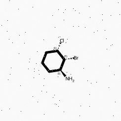 N[C@H]1CC[CH][C@H](Cl)[C@@H]1Br